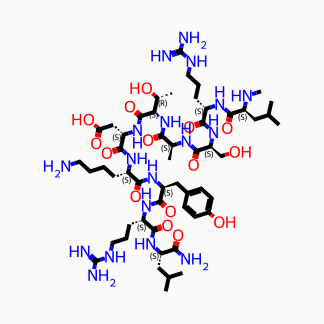 CN[C@@H](CC(C)C)C(=O)N[C@@H](CCCNC(=N)N)C(=O)N[C@@H](CO)C(=O)N[C@@H](C)C(=O)N[C@H](C(=O)N[C@@H](CC(=O)O)C(=O)N[C@@H](CCCCN)C(=O)N[C@@H](Cc1ccc(O)cc1)C(=O)N[C@@H](CCCNC(=N)N)C(=O)N[C@@H](CC(C)C)C(N)=O)[C@@H](C)O